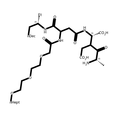 CCCCCCCCCCC[C@H](CC)NC(=O)C(CC(=O)N[C@H](C(=O)O)C(CC(=O)O)C(=O)[C@H](C)N)NC(=O)COCCOCCOCCCCCCC